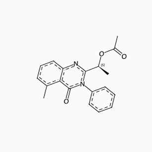 CC(=O)O[C@@H](C)c1nc2cccc(C)c2c(=O)n1-c1ccccc1